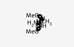 COc1ccc(Nc2nc(-n3c(C)nc4ccc(OC)cc43)nc(N)c2F)cc1